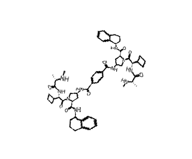 CN[C@@H](C)C(=O)N[C@H](C(=O)N1C[C@@H](NC(=O)c2ccc(C(=O)N[C@H]3C[C@@H](C(=O)N[C@@H]4CCCc5ccccc54)N(C(=O)[C@@H](NC(=O)[C@H](C)NC)C4CCC4)C3)cc2)C[C@H]1C(=O)N[C@@H]1CCCc2ccccc21)C1CCC1